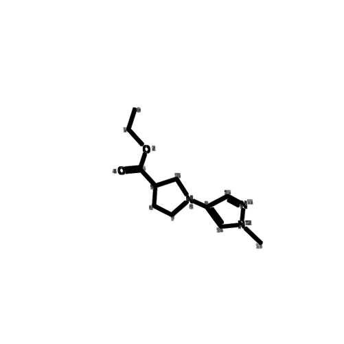 CCOC(=O)C1CCN(c2cnn(C)c2)C1